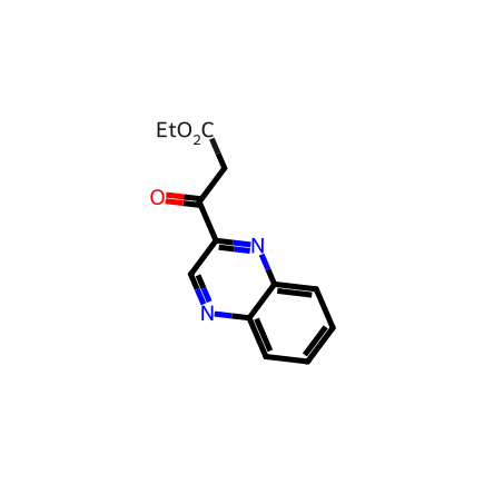 CCOC(=O)CC(=O)c1cnc2ccccc2n1